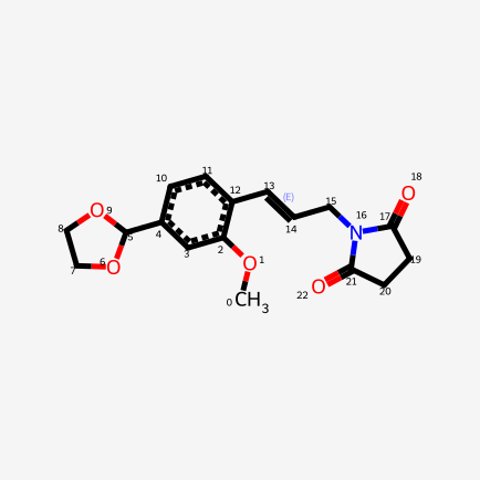 COc1cc(C2OCCO2)ccc1/C=C/CN1C(=O)CCC1=O